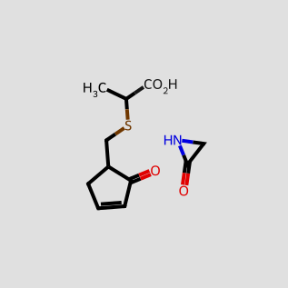 CC(SCC1CC=CC1=O)C(=O)O.O=C1CN1